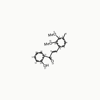 COc1c(C)ccc(C=CC(=O)c2ccccc2O)c1OC